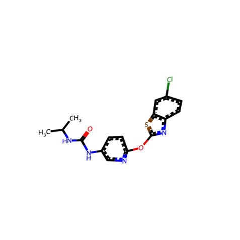 CC(C)NC(=O)Nc1ccc(Oc2nc3ccc(Cl)cc3s2)nc1